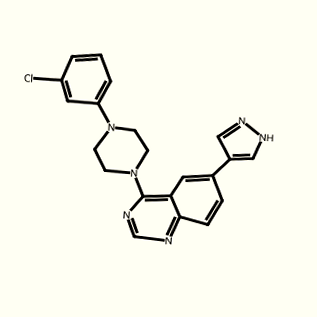 Clc1cccc(N2CCN(c3ncnc4ccc(-c5cn[nH]c5)cc34)CC2)c1